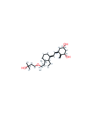 C=C1/C(=C\C=C2CCC[C@@]3(C)C2CC[C@@H]3[C@H](C)OCCC(C)(C)O)C[C@@H](O)CC1O